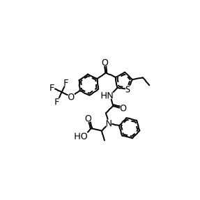 CCc1cc(C(=O)c2ccc(OC(F)(F)F)cc2)c(NC(=O)CN(c2ccccc2)C(C)C(=O)O)s1